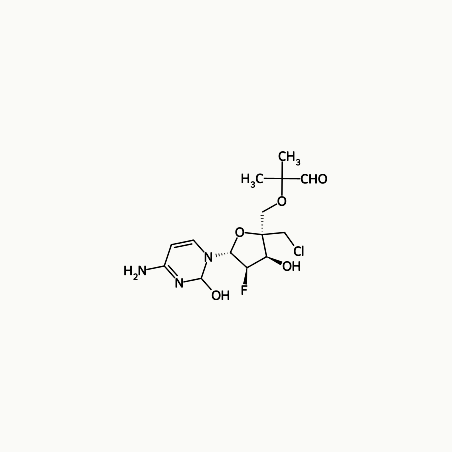 CC(C)(C=O)OC[C@@]1(CCl)O[C@@H](N2C=CC(N)=NC2O)[C@H](F)[C@@H]1O